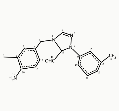 Cc1cc(CN2C=NN(c3cccc(C(F)(F)F)c3)C2C=O)ccc1N